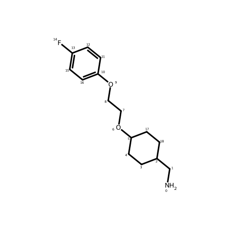 NCC1CCC(OCCOc2ccc(F)cc2)CC1